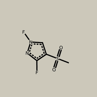 CS(=O)(=O)c1cn(F)nc1F